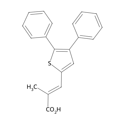 CC(=Cc1cc(-c2ccccc2)c(-c2ccccc2)s1)C(=O)O